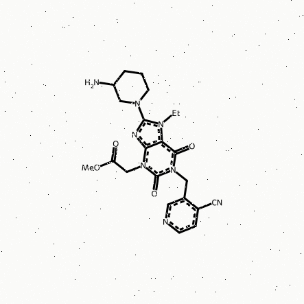 CCn1c(N2CCCC(N)C2)nc2c1c(=O)n(Cc1cnccc1C#N)c(=O)n2CC(=O)OC